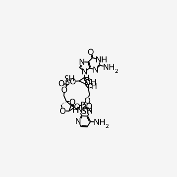 Nc1nc2c(ncn2[C@@H]2O[C@@H]3COP(=O)(S)O[C@@H]4C5OC[C@]4(COP(=O)(S)OC2[C@H]3O)O[C@H]5n2cnc3c(N)ccnc32)c(=O)[nH]1